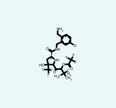 CC(C)(C)C(OC(=O)C(F)(F)F)C(=O)C1N[C@H](C(=O)NCc2cc(Cl)ccc2CN)CC1(O)C(F)(F)F